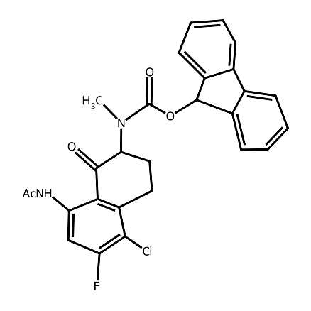 CC(=O)Nc1cc(F)c(Cl)c2c1C(=O)C(N(C)C(=O)OC1c3ccccc3-c3ccccc31)CC2